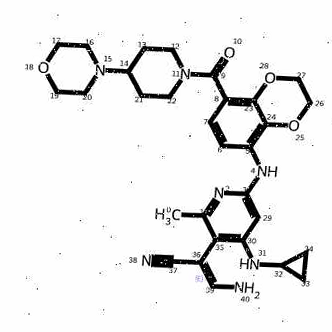 Cc1nc(Nc2ccc(C(=O)N3CCC(N4CCOCC4)CC3)c3c2OCCO3)cc(NC2CC2)c1/C(C#N)=C\N